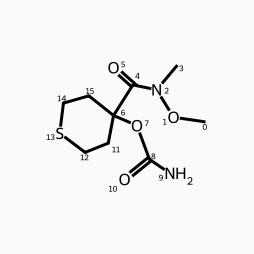 CON(C)C(=O)C1(OC(N)=O)CCSCC1